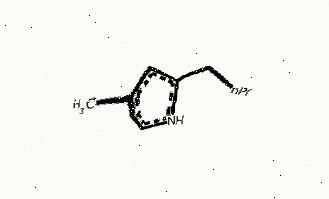 CCCCc1cc(C)c[nH]1